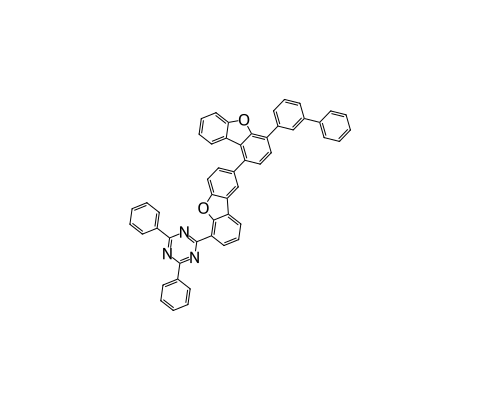 c1ccc(-c2cccc(-c3ccc(-c4ccc5oc6c(-c7nc(-c8ccccc8)nc(-c8ccccc8)n7)cccc6c5c4)c4c3oc3ccccc34)c2)cc1